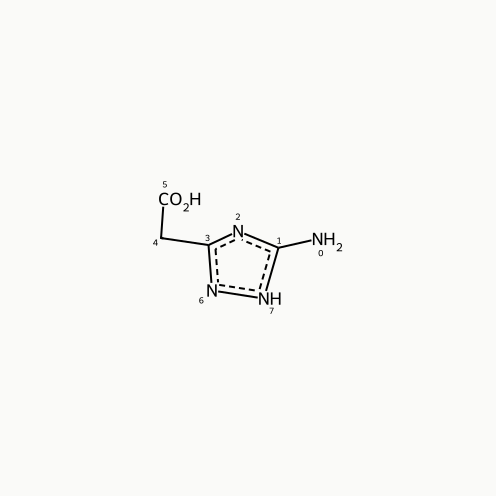 Nc1nc(CC(=O)O)n[nH]1